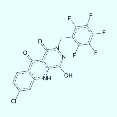 O=c1c2ccc(Cl)cc2[nH]c2c(O)nn(Cc3c(F)c(F)c(F)c(F)c3F)c(=O)c12